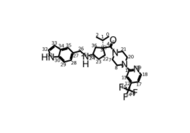 CC(C)[C@]1(C(=O)N2CCN(c3cc(C(F)(F)F)ccn3)CC2)CC[C@@H](NCc2ccc3[nH]ccc3c2)C1